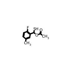 CC(=O)OC(S)c1cc(C)ccc1F